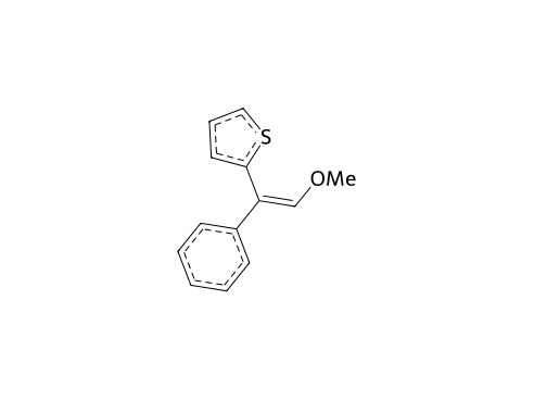 CO/C=C(/c1ccccc1)c1cccs1